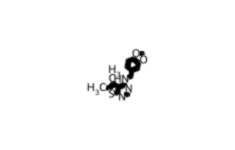 Cc1sc2ncnc(NCc3ccc4c(c3)OCO4)c2c1C